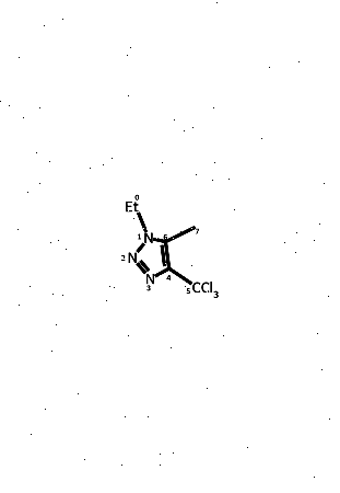 CCn1nnc(C(Cl)(Cl)Cl)c1C